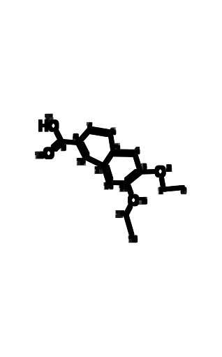 CCOc1cc2ccc(C(=O)O)cc2cc1OCC